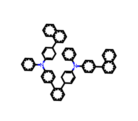 C1=CC(c2cccc3ccccc23)CC=C1N(c1ccccc1)c1ccc(-c2ccccc2C2C=CC(N(c3ccccc3)c3ccc(-c4cccc5ccccc45)cc3)=CC2)cc1